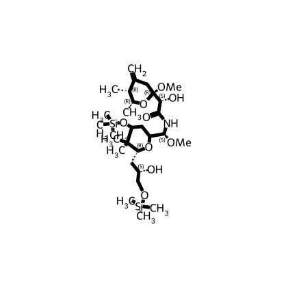 C=C1C[C@](OC)([C@H](O)C(=O)N[C@@H](OC)C2CC(O[Si](C)(C)C)C(C)(C)[C@@H](C[C@H](O)CO[Si](C)(C)C)O2)O[C@H](C)[C@@H]1C